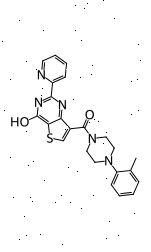 Cc1ccccc1N1CCN(C(=O)c2csc3c(O)nc(-c4ccccn4)nc23)CC1